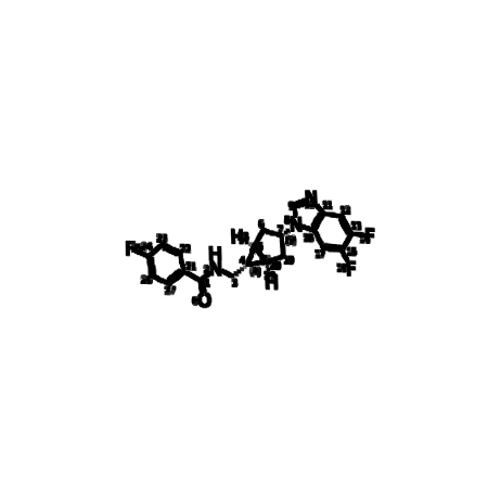 O=C(NC[C@@H]1[C@H]2C[C@H](n3cnc4cc(F)c(F)cc43)C[C@@H]12)c1ccc(F)cc1